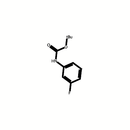 CC(C)(C)OC(=O)Nc1c[c]cc(F)c1